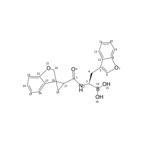 O=C(N[C@@H](Cc1coc2ccccc12)B(O)O)C1CC12COc1ccccc12